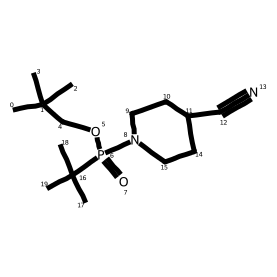 CC(C)(C)COP(=O)(N1CCC(C#N)CC1)C(C)(C)C